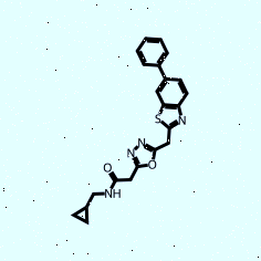 O=C(Cc1nnc(Cc2nc3ccc(-c4ccccc4)cc3s2)o1)NCC1CC1